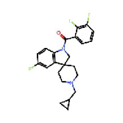 O=C(c1cccc(F)c1F)N1CC2(CCN(CC3CC3)CC2)c2cc(F)ccc21